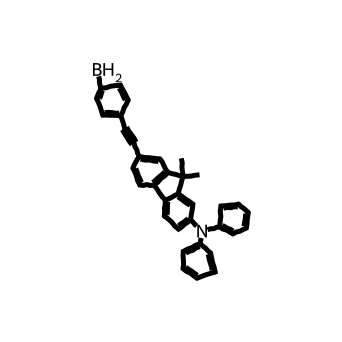 Bc1ccc(C#Cc2ccc3c(c2)C(C)(C)c2cc(N(c4ccccc4)c4ccccc4)ccc2-3)cc1